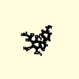 CCCCC(=O)Nc1c(C)c(C)c2c(c1C)C(c1ccc(C(C)C)cc1)CO2